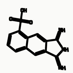 N=C1NC(=N)c2cc3c(S(=O)(=O)O)cccc3cc21